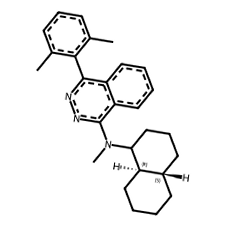 Cc1cccc(C)c1-c1nnc(N(C)C2CCC[C@@H]3CCCC[C@@H]23)c2ccccc12